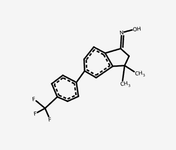 CC1(C)CC(=NO)c2ccc(-c3ccc(C(F)(F)F)cc3)cc21